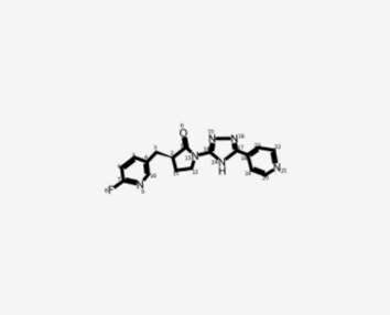 O=C1[C@H](Cc2ccc(F)nc2)CCN1c1nnc(-c2ccncc2)[nH]1